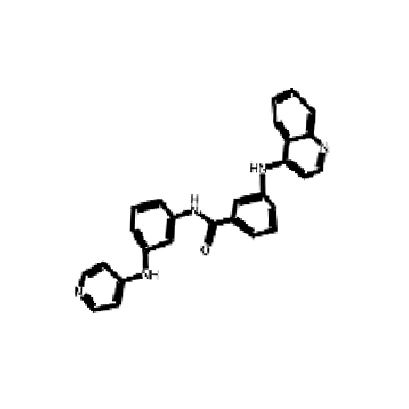 O=C(Nc1cccc(Nc2ccncc2)c1)c1cccc(Nc2ccnc3ccccc23)c1